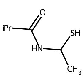 CC(S)NC(=O)C(C)C